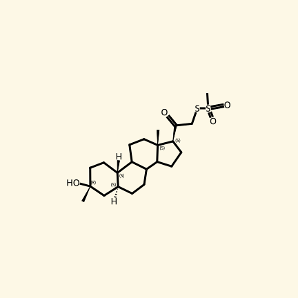 C[C@@]1(O)CC[C@@H]2C3CC[C@@]4(C)C(CC[C@@H]4C(=O)CSS(C)(=O)=O)C3CC[C@H]2C1